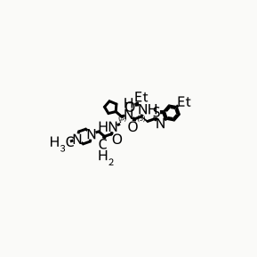 C=C(CN1CCN(C)CC1)C(=O)NC[C@@H](NC(=O)[C@H](Cc1nc2ccc(CC)cc2s1)NC(=O)CC)C1CCCC1